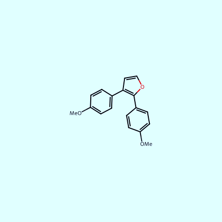 COc1ccc(-c2ccoc2-c2ccc(OC)cc2)cc1